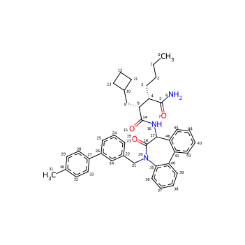 CCCC[C@H](C(N)=O)[C@@H](CC1CCC1)C(=O)NC1C(=O)N(Cc2cccc(-c3ccc(C)cc3)c2)c2ccccc2-c2ccccc21